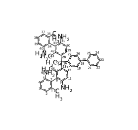 Cc1cccc(N)c1-c1c(N)ccc(C(C)(c2ccc(-c3ccccc3)cc2)c2ccc(N)c(-c3c(C)cccc3N)c2C)c1C